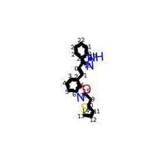 C(=Cc1cccc2nc(Cc3cccs3)oc12)c1n[nH]c2ccccc12